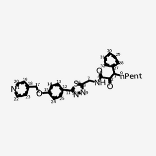 CCCCCC(C(=O)C(=O)NCc1nnc(-c2ccc(OCc3ccncc3)cc2)s1)c1ccccc1